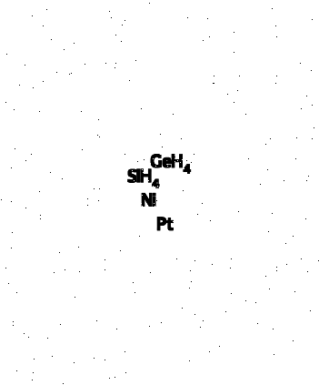 [GeH4].[Ni].[Pt].[SiH4]